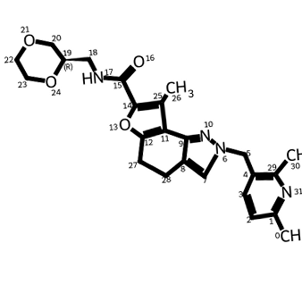 Cc1ccc(Cn2cc3c(n2)-c2c(oc(C(=O)NC[C@@H]4COCCO4)c2C)CC3)c(C)n1